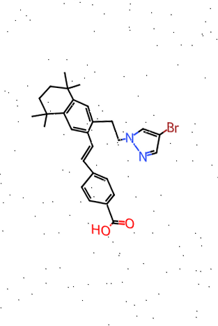 CC1(C)CCC(C)(C)c2cc(CCn3cc(Br)cn3)c(C=Cc3ccc(C(=O)O)cc3)cc21